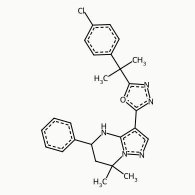 CC(C)(c1ccc(Cl)cc1)c1nnc(-c2cnn3c2NC(c2ccccc2)CC3(C)C)o1